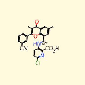 Cc1cc([C@@H](C)Nc2ccc(Cl)nc2C(=O)O)c2oc(-c3cccc(C#N)c3)c(C)c(=O)c2c1